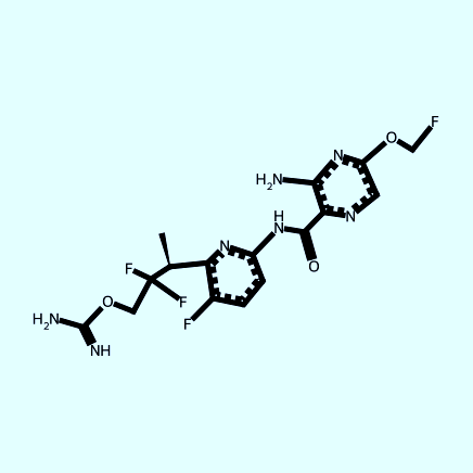 C[C@@H](c1nc(NC(=O)c2ncc(OCF)nc2N)ccc1F)C(F)(F)COC(=N)N